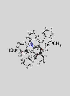 CC1c2ccccc2-c2c(-c3ccccc3N(c3ccc(C(C)(C)C)cc3)c3ccccc3-c3cccc4cccc(-c5ccccc5)c34)cccc21